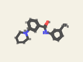 Cc1cccc(NC(=O)c2cccc(N3CCCCC3)c2)c1